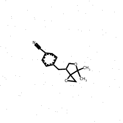 CC1(C)OCC(Cc2ccc(C#N)cc2)C12CO2